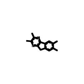 Cc1cc2c(cc1C)-c1nc(C)c(C)nc1C2